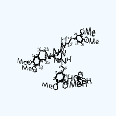 COc1ccc(CCNc2nc(NCCc3ccc(OC)c(OC)c3)nc(N3CCc4cc(OC)c(OC)cc4C3)n2)cc1OC.O=P(O)(O)O